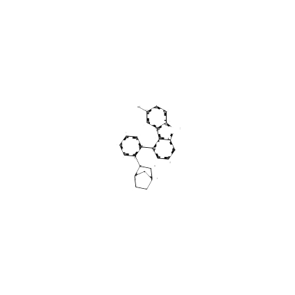 Clc1ccc2sc3cccc(-c4ccccc4C4CC5CCC4C5)c3c2c1